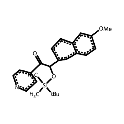 COc1ccc2cc(C(O[Si](C)(C)C(C)(C)C)C(=O)c3ccncc3)ccc2c1